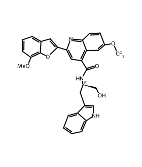 COc1cccc2cc(-c3cc(C(=O)N[C@@H](CO)Cc4c[nH]c5ccccc45)c4cc(OC(F)(F)F)ccc4n3)oc12